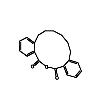 O=C1OC(=O)c2ccccc2CCCCCCc2ccccc21